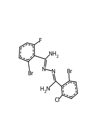 N/C(=N\N=C(/N)c1c(Cl)cccc1Br)c1c(F)cccc1Br